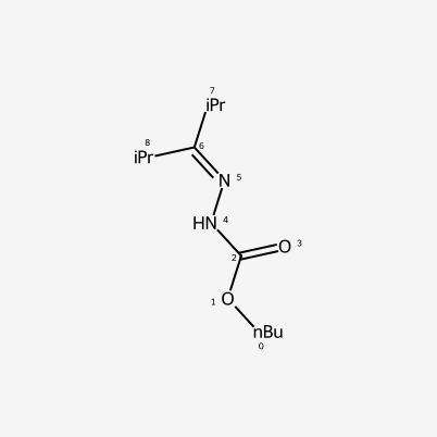 CCCCOC(=O)NN=C(C(C)C)C(C)C